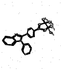 CC1(C)OB(c2ccc(-c3nc4ccccc4n3C3=CC=CCC3)cc2)OC1(C)C